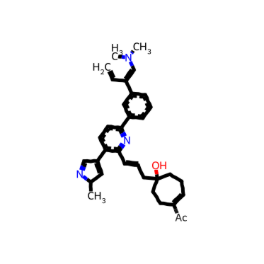 C=C/C(=C\N(C)C)c1cccc(-c2ccc(C3=CC(C)N=C3)c(/C=C/CC3(O)CCC=C(C(C)=O)CC3)n2)c1